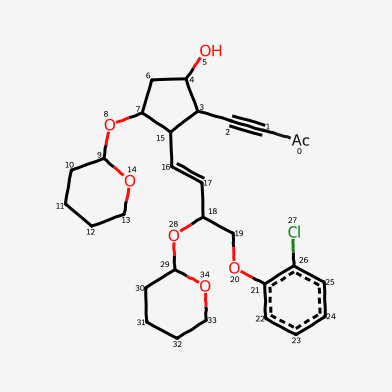 CC(=O)C#CC1C(O)CC(OC2CCCCO2)C1C=CC(COc1ccccc1Cl)OC1CCCCO1